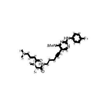 CNc1nc(Nc2ccc(F)cc2)ncc1C#CCCCNC(=O)[C@H](C)N(C)C(=O)/C=C/CN(C)C